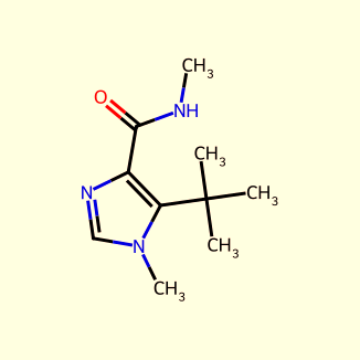 CNC(=O)c1ncn(C)c1C(C)(C)C